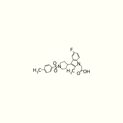 Cc1ccc(S(=O)(=O)N2CCC(c3c(C)n(CC(=O)O)c4ccc(F)cc34)CC2)cc1